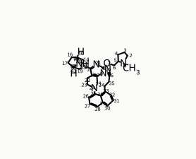 CN1CCCC1COc1nc2c(c(N3C[C@H]4CC[C@@H](C3)N4)n1)CCN(c1cccc3cccc(CCC#N)c13)C2